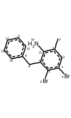 Cc1cc(Br)c(Br)c(Cc2ccccc2)c1N